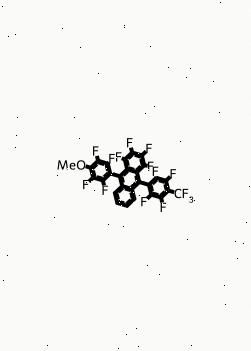 COc1c(F)c(F)c(-c2c3ccccc3c(-c3c(F)c(F)c(C(F)(F)F)c(F)c3F)c3c(F)c(F)c(F)c(F)c23)c(F)c1F